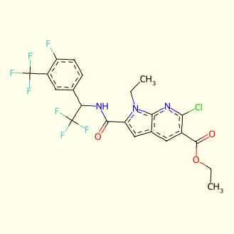 CCOC(=O)c1cc2cc(C(=O)NC(c3ccc(F)c(C(F)(F)F)c3)C(F)(F)F)n(CC)c2nc1Cl